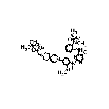 COc1cc(N2CCC3(CCN(CC(=O)OC(C)(C)C)CC3)CC2)ccc1Nc1ncc(Cl)c(Nc2ccccc2N(C)S(C)(=O)=O)n1